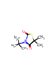 CC1(C)SC(=O)N(C(C)(C)C)C1=O